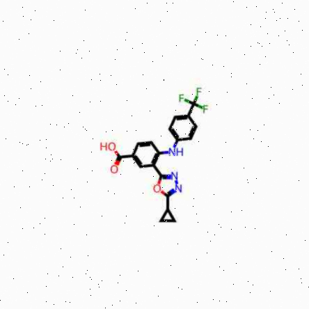 O=C(O)c1ccc(Nc2ccc(C(F)(F)F)cc2)c(-c2nnc(C3CC3)o2)c1